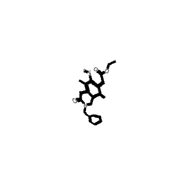 CCOC(=O)Cc1c(C)c2c(c(C)c1SI)CC(=O)N(Cc1ccccc1)C2